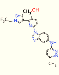 Cc1ccc(Nc2ccc3c(c2)ncn3-c2ccc(CO)c(-c3cn(CC(F)(F)F)nc3C)n2)nn1